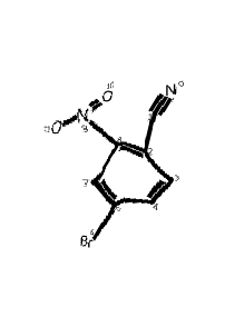 N#Cc1c[c]c(Br)cc1[N+](=O)[O-]